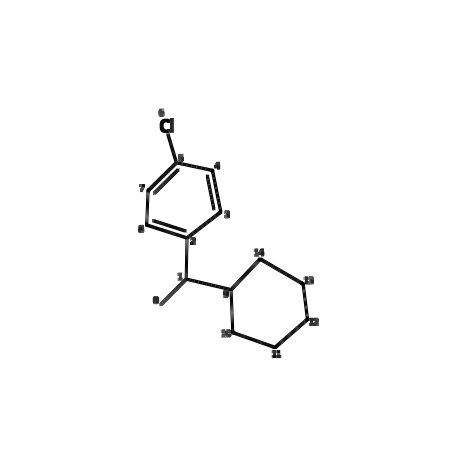 CC(c1ccc(Cl)cc1)C1CCCCC1